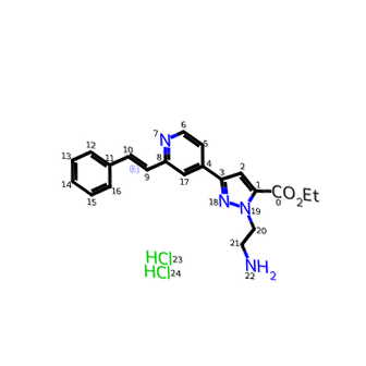 CCOC(=O)c1cc(-c2ccnc(/C=C/c3ccccc3)c2)nn1CCN.Cl.Cl